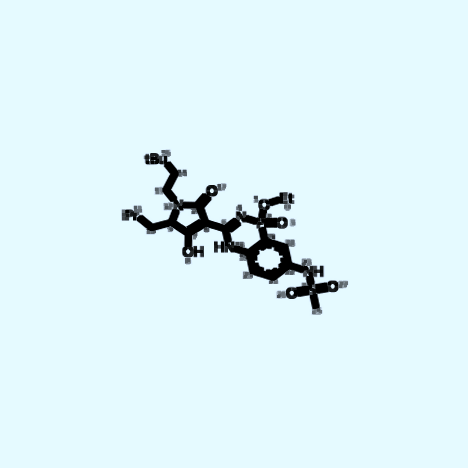 CCOP1(=O)N=C(C2=C(O)C(CC(C)C)N(CCC(C)(C)C)C2=O)Nc2ccc(NS(C)(=O)=O)cc21